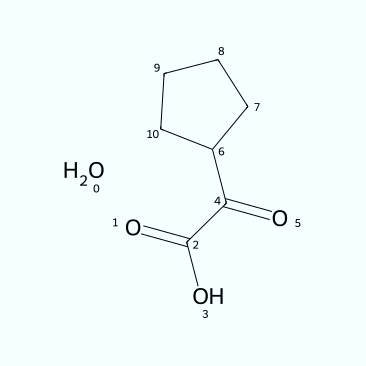 O.O=C(O)C(=O)C1CCCC1